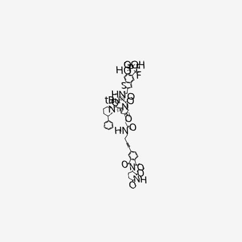 CC(C)(C)[C@H](NC(=O)c1cc2cc(C(F)(F)P(=O)(O)O)ccc2s1)C(=O)N1C[C@@H](OCC(=O)NCCC#Cc2ccc3c(c2)C(=O)N(C2CCC(=O)NC2=O)C3=O)C[C@H]1C(=O)N1CCCC(c2ccccc2)C1